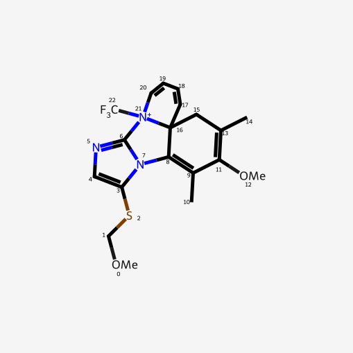 COCSc1cnc2n1C1=C(C)C(OC)=C(C)CC13C=CC=C[N+]23C(F)(F)F